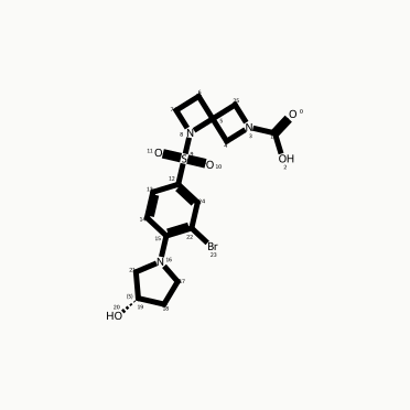 O=C(O)N1CC2(CCN2S(=O)(=O)c2ccc(N3CC[C@H](O)C3)c(Br)c2)C1